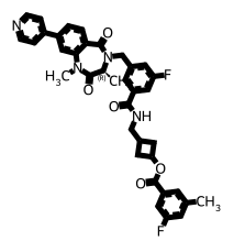 Cc1cc(F)cc(C(=O)OC2CC(CNC(=O)c3cc(F)cc(CN4C(=O)c5ccc(-c6ccncc6)cc5N(C)C(=O)[C@H]4C)c3)C2)c1